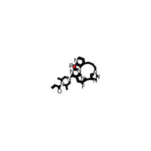 C=CC(=O)N1C(C)CN(c2nc(=O)n3c4nc(c(F)cc24)-c2cn(nn2)CCCc2ccnc(C(C)C)c2-3)CC1C